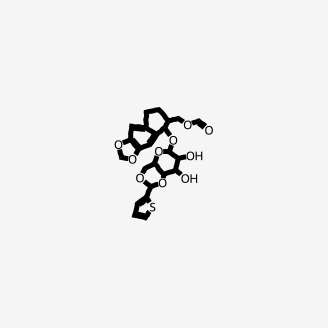 O=COCC1CCc2cc3c(cc2C1OC1OC2COC(c4cccs4)OC2C(O)C1O)OCO3